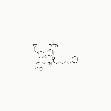 CC(=O)Oc1cccc(C23CCN(CC4CC4)CC2C(OC(C)=O)CC(N(C)C(=O)CCCCCc2ccccc2)C3)c1